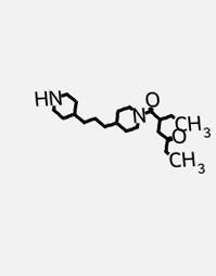 CCC(=O)CC(CC)C(=O)N1CCC(CCCC2CCNCC2)CC1